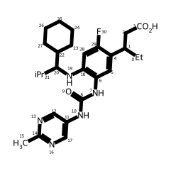 CCC(CC(=O)O)c1cc(NC(=O)Nc2cnc(C)nc2)c(NC(C(C)C)C2CCCCC2)cc1F